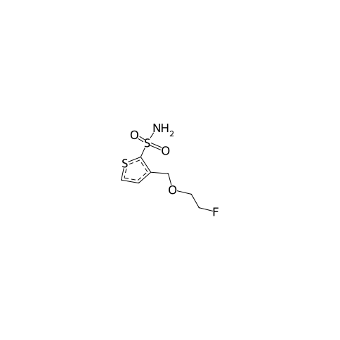 NS(=O)(=O)c1sccc1COCCF